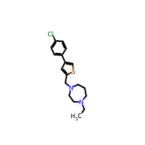 CCN1CCCN(Cc2cc(-c3ccc(Cl)cc3)cs2)CC1